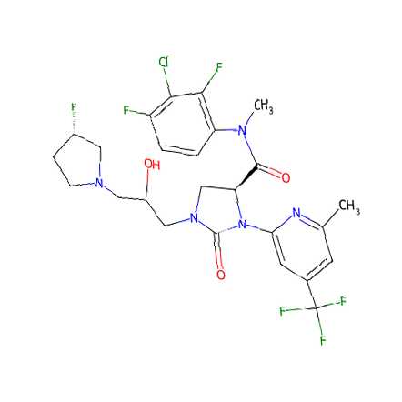 Cc1cc(C(F)(F)F)cc(N2C(=O)N(CC(O)CN3CC[C@H](F)C3)C[C@H]2C(=O)N(C)c2ccc(F)c(Cl)c2F)n1